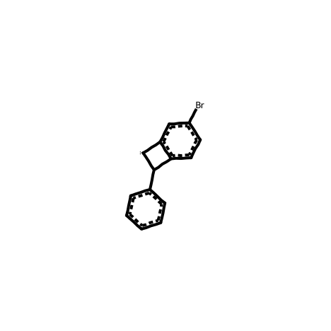 Brc1ccc2c(c1)[C]C2c1ccccc1